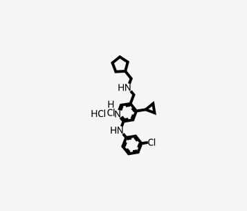 Cl.Cl.Clc1cccc(Nc2cc(C3CC3)c(CNCC3CCCC3)cn2)c1